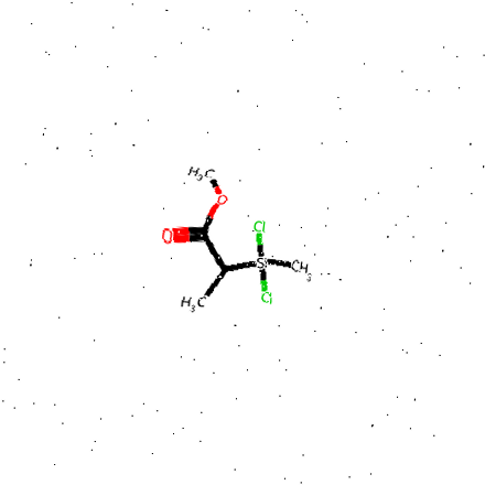 COC(=O)C(C)[Si](C)(Cl)Cl